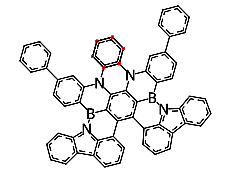 c1ccc(-c2ccc3c(c2)N(c2ccccc2)c2c4c(c5c6c2N(c2ccccc2)c2cc(-c7ccccc7)ccc2B6n2c6ccccc6c6cccc-5c62)-c2cccc5c6ccccc6n(c25)B34)cc1